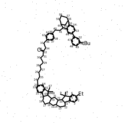 CCc1ccc2c(c1)C(C)(C)C1C2CCC2CC3CCC4c5ccc(CCCCCCCCC(=O)CCc6ccc(CCC7c8cc(-c9cccc(C(C)(C)C)c9)ccc8C8CCCC7C8)cc6)cc5C(C)(C)C4C3CC21